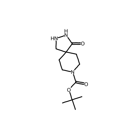 CC(C)(C)OC(=O)N1CCC2(CC1)CNNC2=O